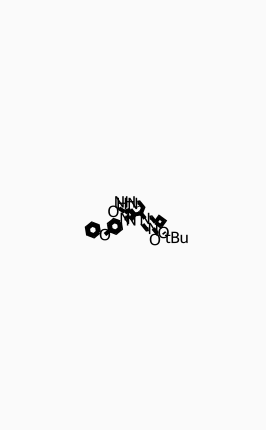 CC(C)(C)OC(=O)N1CCN(C2CCNc3c2nn(-c2ccc(Oc4ccccc4)cc2)c3C(N)=O)CC12CCC2